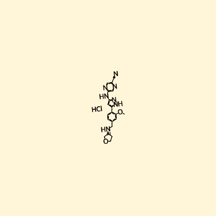 COc1cc(CN[C@H]2CCOC2)ccc1-c1cc(Nc2cnc(C#N)cn2)n[nH]1.Cl